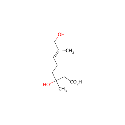 C/C(=C\CCC(C)(O)CC(=O)O)CO